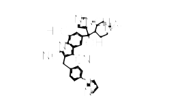 CC(=O)N1CCC(C(O)(c2cc(C)c3nc(C#N)c(Cc4ccc(-n5cccn5)cc4)c(C#N)c3c2)c2cncn2C)CC1